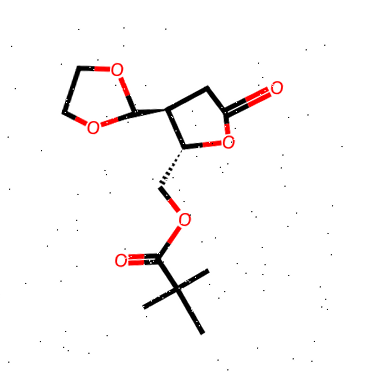 CC(C)(C)C(=O)OC[C@H]1OC(=O)C[C@@H]1C1OCCO1